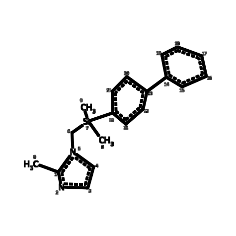 Cc1nccn1C[Si](C)(C)c1ccc(-c2ccccc2)cc1